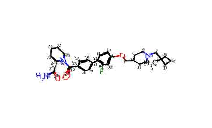 CC1(CN2CCC(COc3ccc(-c4ccc(C(=O)N5CCCC[C@@H]5C(N)=O)cc4)c(F)c3)CC2)CCC1